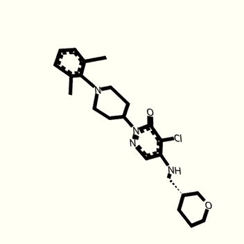 Cc1cccc(C)c1N1CCC(n2ncc(NC[C@H]3CCCOC3)c(Cl)c2=O)CC1